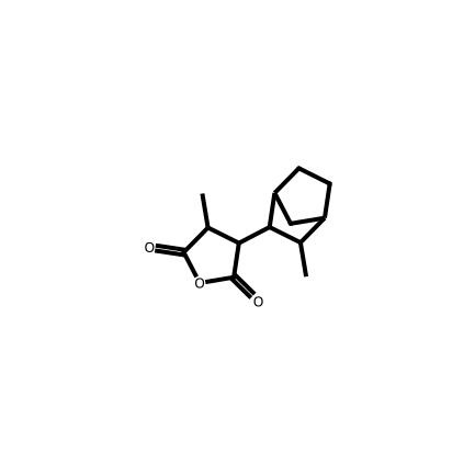 CC1C(=O)OC(=O)C1C1C2CCC(C2)C1C